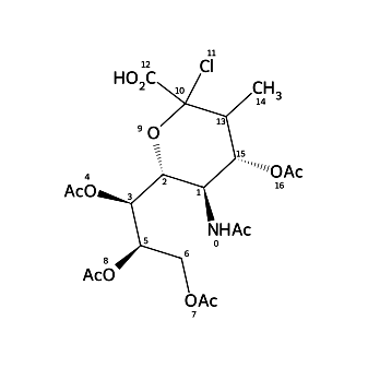 CC(=O)N[C@H]1[C@H]([C@H](OC(C)=O)[C@@H](COC(C)=O)OC(C)=O)OC(Cl)(C(=O)O)C(C)[C@@H]1OC(C)=O